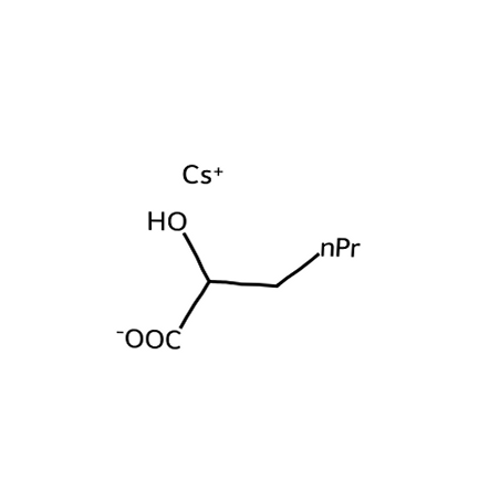 CCCCC(O)C(=O)[O-].[Cs+]